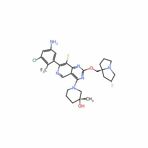 C[C@@]1(O)CCCN(c2nc(OC[C@@]34CCCN3C[C@H](F)C4)nc3c(F)c(-c4cc(N)cc(Cl)c4C(F)(F)F)ncc23)C1